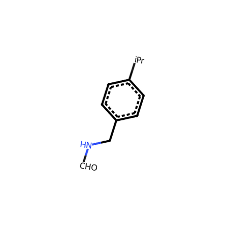 CC(C)c1ccc(CNC=O)cc1